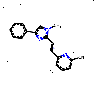 Cn1cc(-c2ccccc2)nc1/C=C/c1cccc(C#N)n1